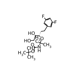 CC(C)(C)OC(=O)NC(C)(C)O[C@@H](CCc1cc(F)cc(F)c1)C(O)CO